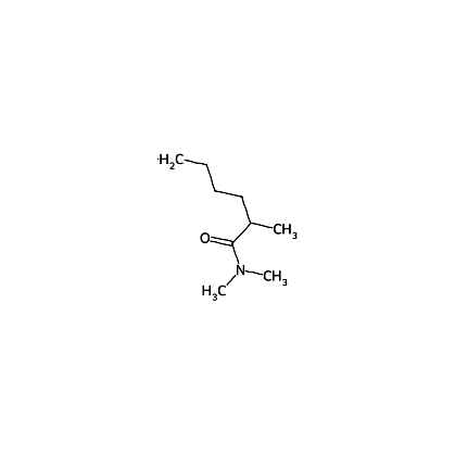 [CH2]CCCC(C)C(=O)N(C)C